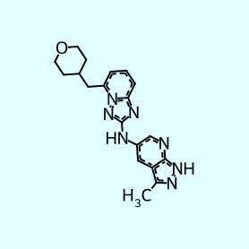 Cc1n[nH]c2ncc(Nc3nc4cccc(CC5CCOCC5)n4n3)cc12